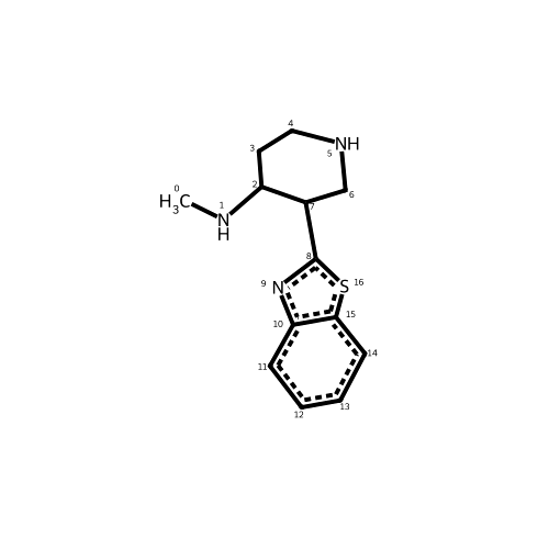 CNC1CCNCC1c1nc2ccccc2s1